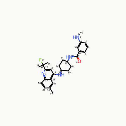 CCNc1cccc(C(=O)NC2CCC(Nc3cc(C(C)(C)F)nc4ccc(C)cc34)CC2)c1